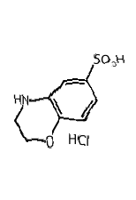 Cl.O=S(=O)(O)c1ccc2c(c1)NCCO2